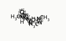 Cc1cnc(C)c(-c2ccc3c(c2)ncn3-c2ccnc(N[C@@H](C)c3ccccc3)n2)n1